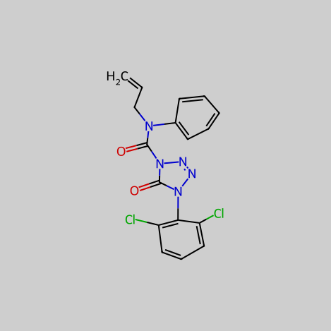 C=CCN(C(=O)n1nnn(-c2c(Cl)cccc2Cl)c1=O)c1ccccc1